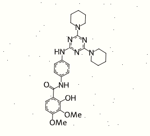 COc1ccc(C(=O)Nc2ccc(Nc3nc(N4CCCCC4)nc(N4CCCCC4)n3)cc2)c(O)c1OC